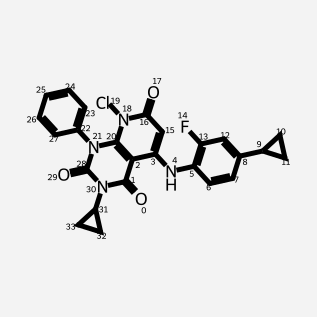 O=c1c2c(Nc3ccc(C4CC4)cc3F)cc(=O)n(Cl)c2n(-c2ccccc2)c(=O)n1C1CC1